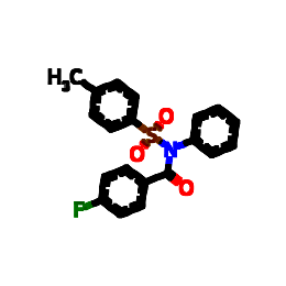 Cc1ccc(S(=O)(=O)N(C(=O)c2ccc(F)cc2)c2ccccc2)cc1